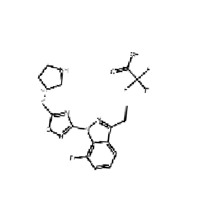 CCc1nn(-c2noc(C[C@@H]3CCNC3)n2)c2c(F)cccc12.O=C(O)C(F)(F)F